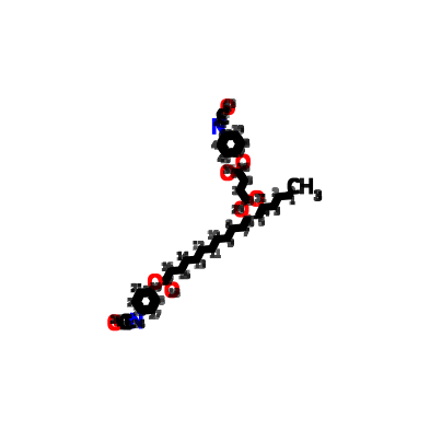 CCCCCC[C@H](CCCCCCCCCCC(=O)Oc1ccc(N=C=O)cc1)OC(=O)CCC(=O)Oc1ccc(N=C=O)cc1